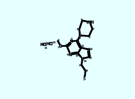 COc1nc(N2CCNCC2)c2ncn(CCF)c2n1.Cl.Cl